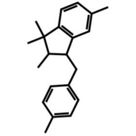 Cc1ccc(CC2c3cc(C)ccc3C(C)(C)C2C)cc1